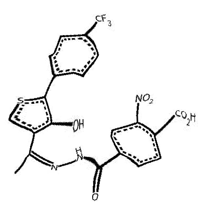 CC(=NNC(=O)c1ccc(C(=O)O)c([N+](=O)[O-])c1)c1csc(-c2ccc(C(F)(F)F)cc2)c1O